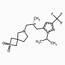 CC(C)n1nc(C(F)(F)F)cc1C[C@@H](C)CN1CCC2(C1)CS(=O)(=O)C2